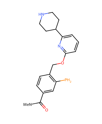 CNC(=O)c1ccc(COc2cccc(C3CCNCC3)n2)c(P)c1